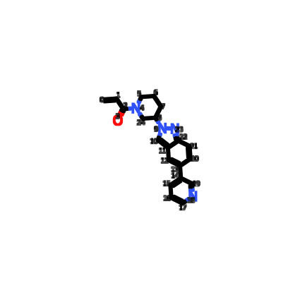 C=CC(=O)N1CCCC(n2cc3cc(-c4cccnc4)ccc3n2)C1